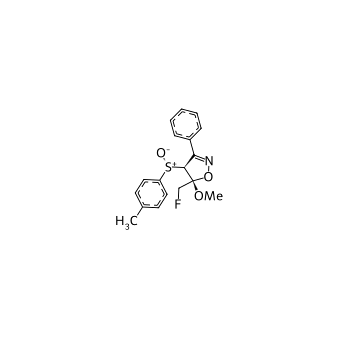 CO[C@]1(CF)ON=C(c2ccccc2)[C@@H]1[S@@+]([O-])c1ccc(C)cc1